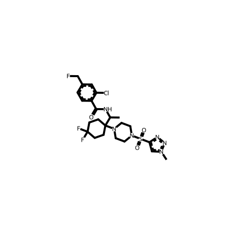 CC(NC(=O)c1ccc(CF)cc1Cl)C1(N2CCN(S(=O)(=O)c3cn(C)nn3)CC2)CCC(F)(F)CC1